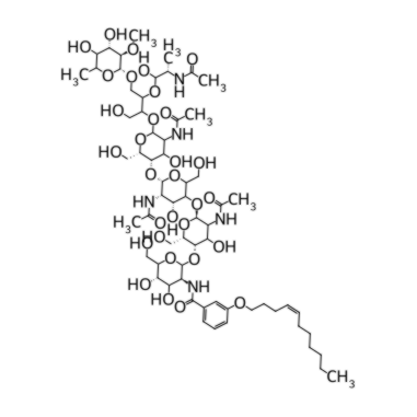 CCCCCC/C=C\CCCOc1cccc(C(=O)N[C@@H]2C(O[C@H]3C(O)C(NC(C)=O)[C@H](OC4C(CO)O[C@@H](O[C@H]5C(O)C(NC(C)=O)C(OC(CO)C(CO[C@@H]6OC(C)C(O)[C@H](O)[C@H]6OC)OC(O)[C@H](C)NC(C)=O)O[C@H]5CO)[C@@H](NC(C)=O)[C@H]4O)O[C@H]3CO)OC(CO)[C@@H](O)C2O)c1